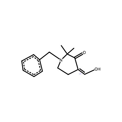 CC1(C)C(=O)/C(=C\O)CCN1Cc1ccccc1